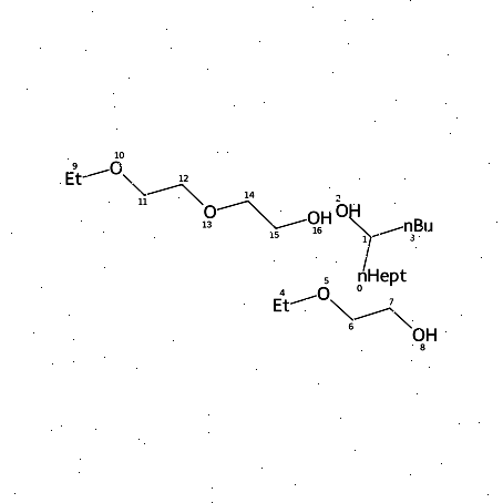 CCCCCCCC(O)CCCC.CCOCCO.CCOCCOCCO